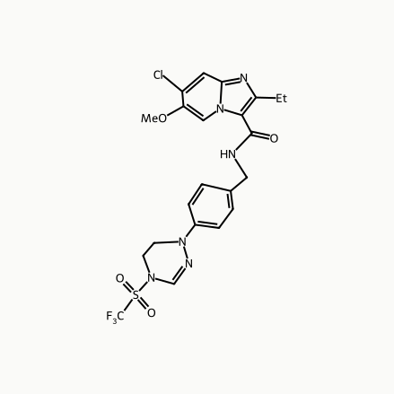 CCc1nc2cc(Cl)c(OC)cn2c1C(=O)NCc1ccc(N2CCN(S(=O)(=O)C(F)(F)F)C=N2)cc1